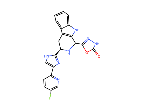 O=c1[nH]nc(C2N[C@@H](c3nc(-c4ccc(F)cn4)c[nH]3)Cc3c2[nH]c2ccccc32)o1